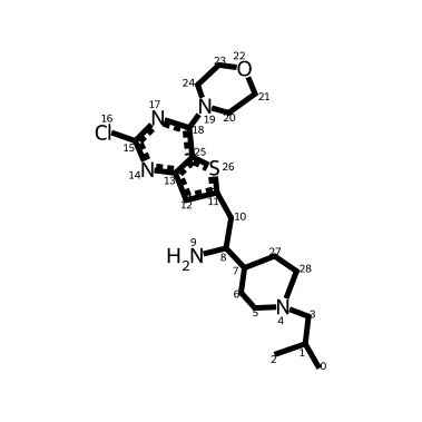 CC(C)CN1CCC(C(N)Cc2cc3nc(Cl)nc(N4CCOCC4)c3s2)CC1